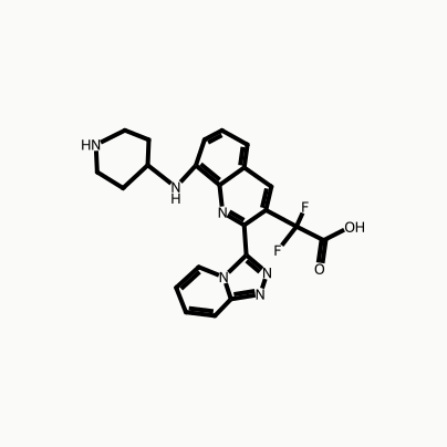 O=C(O)C(F)(F)c1cc2cccc(NC3CCNCC3)c2nc1-c1nnc2ccccn12